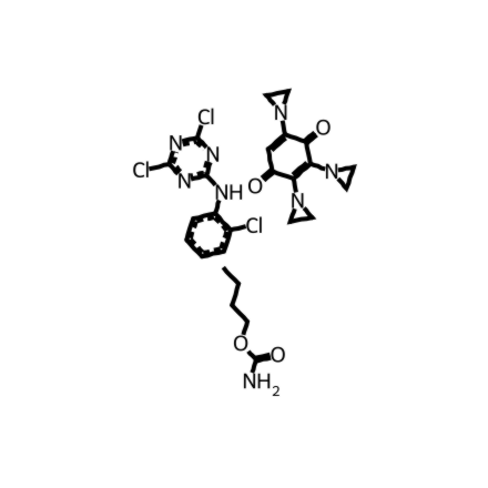 CCCCOC(N)=O.Clc1nc(Cl)nc(Nc2ccccc2Cl)n1.O=C1C=C(N2CC2)C(=O)C(N2CC2)=C1N1CC1